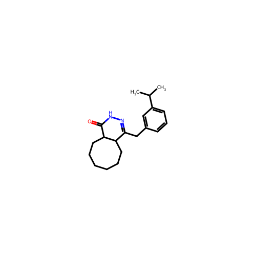 CC(C)c1cccc(CC2=NNC(=O)C3CCCCCCC23)c1